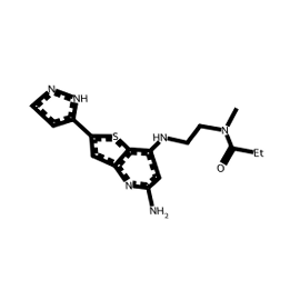 CCC(=O)N(C)CCNc1cc(N)nc2cc(-c3ccn[nH]3)sc12